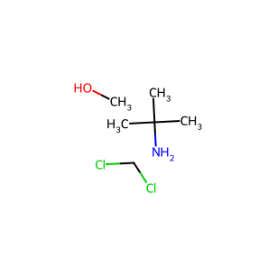 CC(C)(C)N.CO.ClCCl